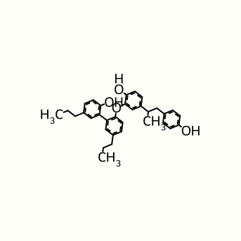 CCCc1ccc(O)c(-c2cc(CCC)ccc2Oc2cc(C(C)Cc3ccc(O)cc3)ccc2O)c1